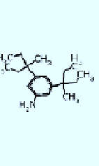 CCC(C)(CC)c1cc(N)cc(C(C)(CC)CC)c1